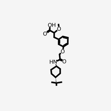 COC(Cc1cccc(OCC(=O)N[C@H]2CC[C@@H](C(C)(C)C)CC2)c1)C(=O)O